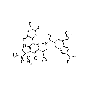 COc1cc(C(=O)NC[C@H](c2nc(-c3cc(Cl)c(F)cc3F)c3c(c2Cl)[C@@](C)(C(N)=O)CO3)C2CC2)cc2cn(C(F)F)nc12